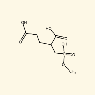 COP(=O)(O)CC(CCC(=O)O)C(=O)O